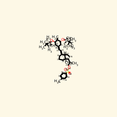 C=C1[C@H](O[Si](C)(C)C(C)(C)C)CC(=C/C=C2\CCC[C@]3(C)[C@@H]([C@@H](C)COS(=O)(=O)c4ccc(C)cc4)CC[C@@H]23)C[C@H]1O[Si](C)(C)C(C)(C)C